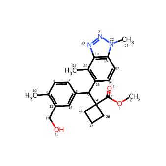 COC(=O)C1(C(c2ccc(C)c(CO)c2)c2ccc3c(nnn3C)c2C)CCC1